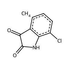 C.O=C1Nc2c(Cl)cccc2C1=O